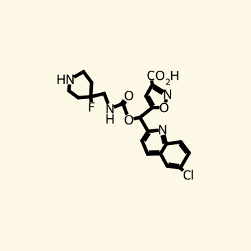 O=C(NCC1(F)CCNCC1)OC(c1ccc2cc(Cl)ccc2n1)c1cc(C(=O)O)no1